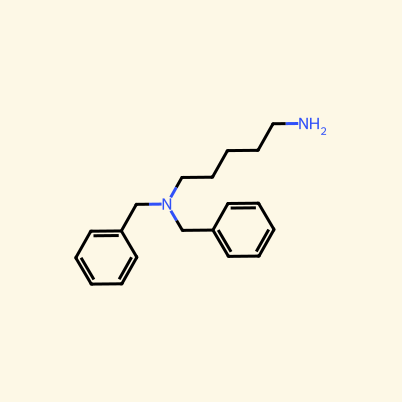 NCCCCCN(Cc1ccccc1)Cc1ccccc1